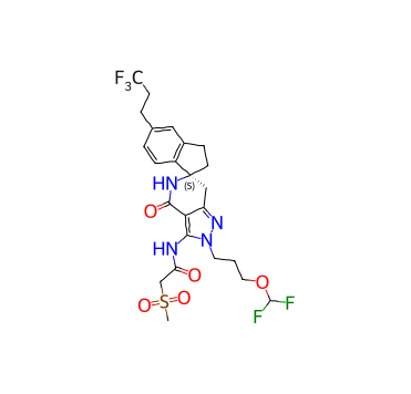 CS(=O)(=O)CC(=O)Nc1c2c(nn1CCCOC(F)F)C[C@]1(CCc3cc(CCC(F)(F)F)ccc31)NC2=O